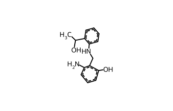 CC(O)c1ccccc1NCc1c(N)cccc1O